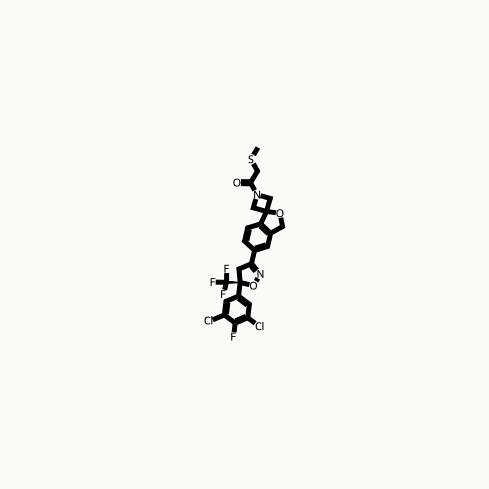 CSCC(=O)N1CC2(C1)OCc1cc(C3=NO[C@@](c4cc(Cl)c(F)c(Cl)c4)(C(F)(F)F)C3)ccc12